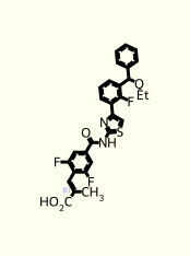 CCOC(c1ccccc1)c1cccc(-c2csc(NC(=O)c3cc(F)c(/C=C(\C)C(=O)O)c(F)c3)n2)c1F